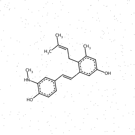 CNc1cc(/C=C/c2cc(O)cc(C)c2CC=C(C)C)ccc1O